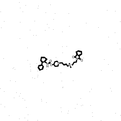 C[N+](C)(C/C=C/CN1CCC(OC(=O)Nc2ccccc2-c2ccccc2)CC1)CCCN1C(=O)c2ccccc2C1=O